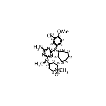 COc1ccc(N(c2nc(N)nc(N(C)C3CC[N+](C)([O-])CC3)n2)C2CCCCCC2)cc1Cl